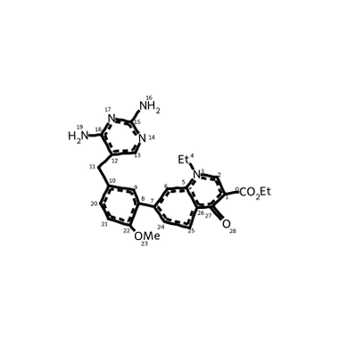 CCOC(=O)c1cn(CC)c2cc(-c3cc(Cc4cnc(N)nc4N)ccc3OC)ccc2c1=O